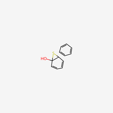 OC12C=CC=CC1S2.c1ccccc1